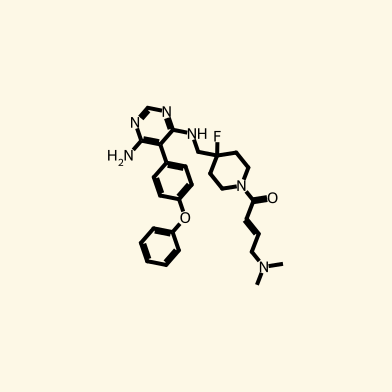 CN(C)CC=CC(=O)N1CCC(F)(CNc2ncnc(N)c2-c2ccc(Oc3ccccc3)cc2)CC1